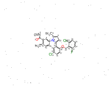 COC(=O)c1cc(-n2c(C)ccc2-c2cc(Cl)ccc2OCc2c(F)cccc2Cl)ccc1C